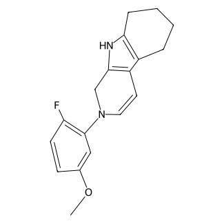 COc1ccc(F)c(N2C=Cc3c([nH]c4c3CCCC4)C2)c1